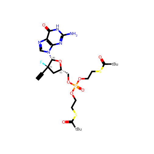 C#C[C@@]1(F)C[C@@H](COP(=O)(OCCSC(=O)C(C)(C)C)OCCSC(=O)C(C)(C)C)O[C@H]1n1cnc2c(=O)[nH]c(N)nc21